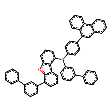 c1ccc(-c2cccc(-c3cccc4c3oc3cccc(N(c5ccc(-c6cc7ccccc7c7ccccc67)cc5)c5cccc(-c6ccccc6)c5)c34)c2)cc1